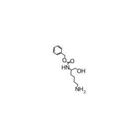 NCCCCC(CO)NC(=O)OCc1ccccc1